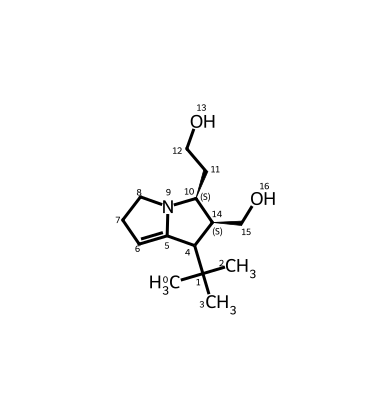 CC(C)(C)C1C2=CCCN2[C@@H](CCO)[C@H]1CO